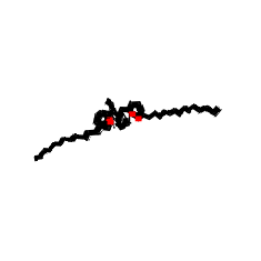 CCCCCCCCCCCCCCCCCN1C=CN(CCCCCCCCCCCCCCC)C1(Cc1ccccc1)C(CC)c1ccccc1